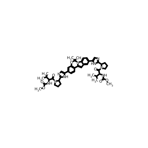 COC(=O)NC(C(=O)N1CCCC1c1ncc(-c2ccc3c(c2)OC(C)(C)n2c-3cc3cc(-c4cnc(C5CCCN5C(=O)C(NC(=O)OC)C(C)C)[nH]4)ccc32)[nH]1)C(C)C